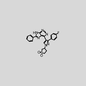 O=S1(=O)CCC(n2cc(-c3ncnc4[nH]c(-c5ccccc5)nc34)c(-c3ccc(F)cc3)n2)C1